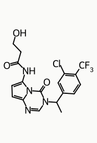 CC(c1ccc(C(F)(F)F)c(Cl)c1)n1cnc2ccc(NC(=O)CCO)n2c1=O